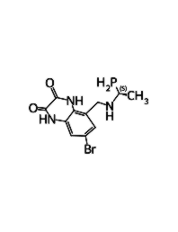 C[C@H](P)NCc1cc(Br)cc2[nH]c(=O)c(=O)[nH]c12